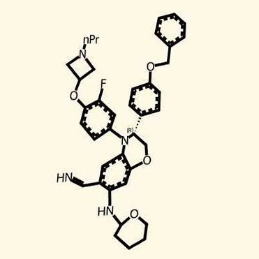 CCCN1CC(Oc2ccc(N3c4cc(C=N)c(NC5CCCCO5)cc4OC[C@H]3c3ccc(OCc4ccccc4)cc3)cc2F)C1